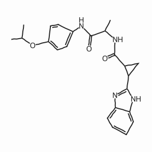 CC(C)Oc1ccc(NC(=O)C(C)NC(=O)C2CC2c2nc3ccccc3[nH]2)cc1